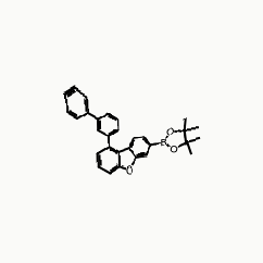 CC1(C)OB(c2ccc3c(c2)oc2cccc(-c4cccc(-c5ccccc5)c4)c23)OC1(C)C